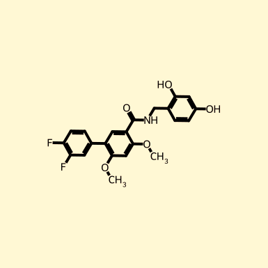 COc1cc(OC)c(-c2ccc(F)c(F)c2)cc1C(=O)NCc1ccc(O)cc1O